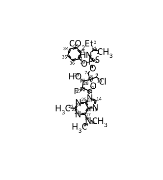 CCOC(=O)[C@H](C)N[P@@](=S)(OC[C@@]1(CCl)O[C@@H](n2cnc3c(N(C)C)nc(C)nc32)[C@H](F)[C@@H]1O)Oc1ccccc1